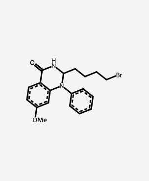 COc1ccc2c(c1)N(c1ccccc1)C(CCCCBr)NC2=O